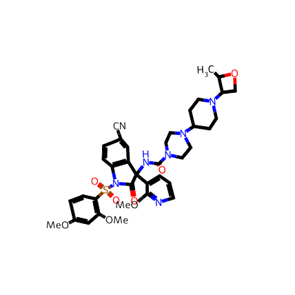 COc1ccc(S(=O)(=O)N2C(=O)C(NC(=O)N3CCN(C4CCN(C5COC5C)CC4)CC3)(c3cccnc3OC)c3cc(C#N)ccc32)c(OC)c1